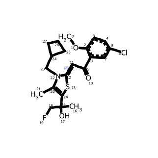 COc1ccc(Cl)cc1C(=O)/C=C1\SC(C(C)(O)CF)=C(C)N1CC1CCC1